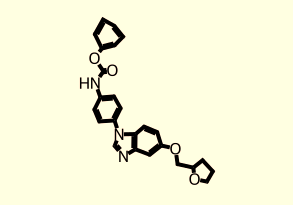 O=C(Nc1ccc(-n2cnc3cc(OCC4CCCO4)ccc32)cc1)Oc1ccccc1